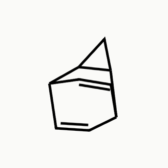 C1=CC2C=CC1C1CC21